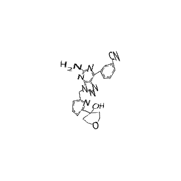 N#Cc1cccc(-c2nc(N)nc3c2nnn3Cc2cccc(C3(O)CCOCC3)n2)c1